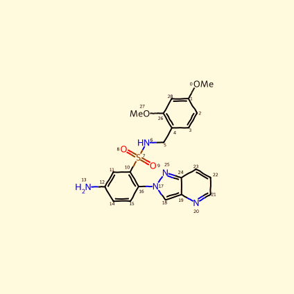 COc1ccc(CNS(=O)(=O)c2cc(N)ccc2-n2cc3ncccc3n2)c(OC)c1